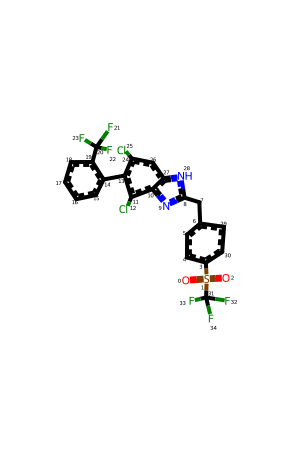 O=S(=O)(c1ccc(Cc2nc3c(Cl)c(-c4ccccc4C(F)(F)F)c(Cl)cc3[nH]2)cc1)C(F)(F)F